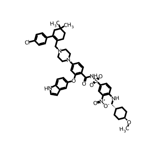 CO[C@H]1CC[C@H](CNc2ccc(S(=O)(=O)NC(=O)c3ccc(N4CCN(CC5=C(c6ccc(Cl)cc6)CC(C)(C)CC5)CC4)cc3Oc3ccc4[nH]ccc4c3)cc2[N+](=O)[O-])CC1